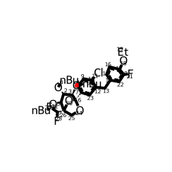 CCCCO[C@@H]1[C@@H](OCCCC)[C@@]2(c3ccc(Cl)c(Cc4ccc(OCC)c(F)c4)c3)OC[C@](C(F)F)(O2)[C@H]1OCCCC